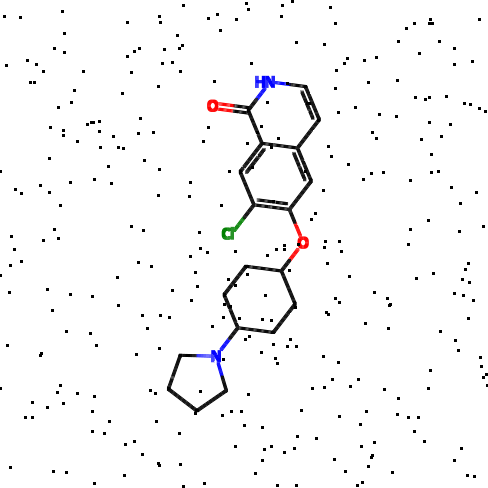 O=c1[nH]ccc2cc(OC3CCC(N4CCCC4)CC3)c(Cl)cc12